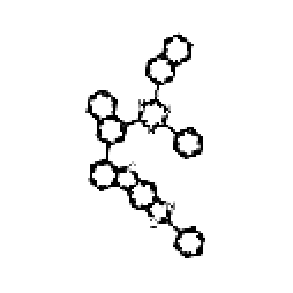 c1ccc(-c2nc(-c3ccc4ccccc4c3)nc(-c3cc(-c4cccc5c4oc4cc6nc(-c7ccccc7)oc6cc45)cc4ccccc34)n2)cc1